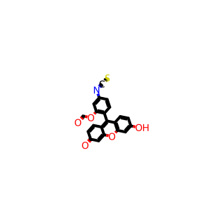 O=COc1cc(N=C=S)ccc1-c1c2ccc(=O)cc-2oc2cc(O)ccc12